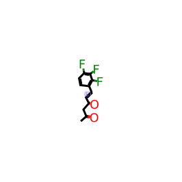 CC(=O)CC(=O)/C=C/c1ccc(F)c(F)c1F